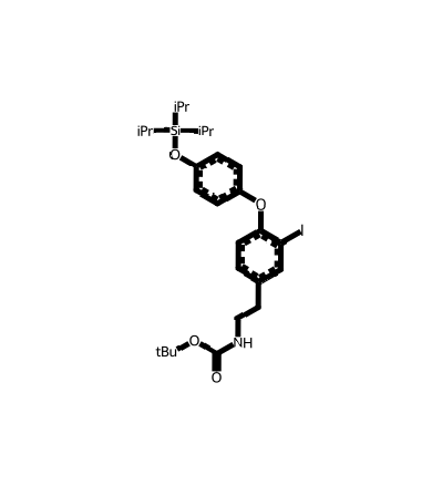 CC(C)[Si](Oc1ccc(Oc2ccc(CCNC(=O)OC(C)(C)C)cc2I)cc1)(C(C)C)C(C)C